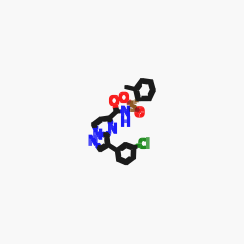 Cc1ccccc1S(=O)(=O)NC(=O)c1ccn2ncc(-c3cccc(Cl)c3)c2n1